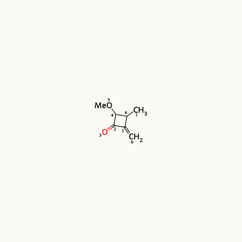 C=C1C(=O)C(OC)C1C